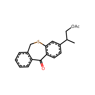 CC(=O)OCC(C)c1ccc2c(c1)SCc1ccccc1C2=O